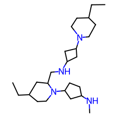 CCC1CCN(C2CC(NCC3CC(CC)CCN3C3CCC(NC)C3)C2)CC1